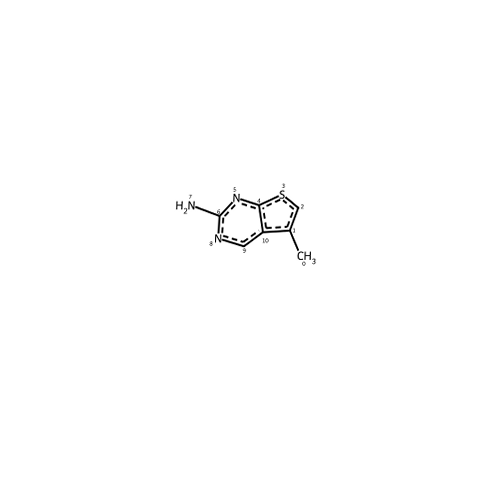 Cc1csc2nc(N)ncc12